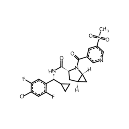 CS(=O)(=O)c1cncc(C(=O)N2[C@@H](C(=O)N[C@@H](c3cc(F)c(Cl)cc3F)C3CC3)C[C@@H]3C[C@@H]32)c1